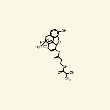 C[C@H](O)C(=O)NCCC(=O)OC1=CC[C@@]2(O)[C@H]3Cc4ccc(O)c5c4C2(CCN3C)C1O5